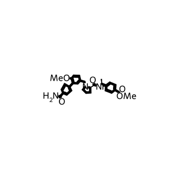 COC(=O)c1ccc([C@H](C)NC(=O)[C@H]2CCCN2Cc2ccc(OC)c(-c3ccc(C(N)=O)cc3)c2)cc1